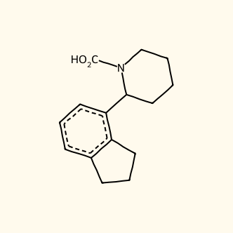 O=C(O)N1CCCCC1c1cccc2c1CCC2